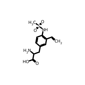 C=Cc1cc(CC(N)C(=O)O)ccc1NS(C)(=O)=O